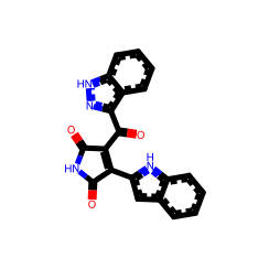 O=C1NC(=O)C(c2cc3ccccc3[nH]2)=C1C(=O)c1n[nH]c2ccccc12